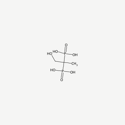 CC(CO)(P(=O)(O)O)P(=O)(O)O